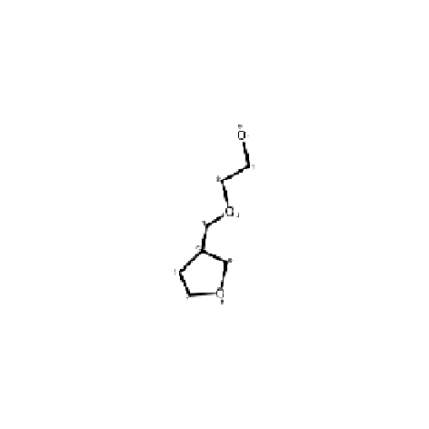 [O]CCOCC1CCOC1